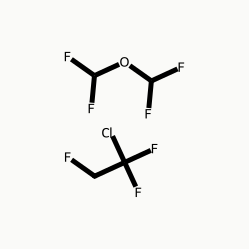 FC(F)OC(F)F.FCC(F)(F)Cl